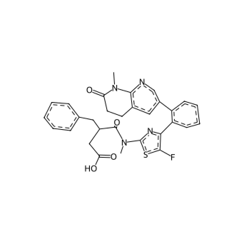 CN(C(=O)C(CC(=O)O)Cc1ccccc1)c1nc(-c2ccccc2-c2cnc3c(c2)CCC(=O)N3C)c(F)s1